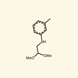 COC(CNc1cccc(C)c1)OC